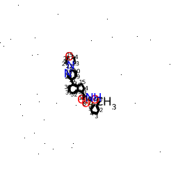 Cc1ccccc1S(=O)(=O)NC(=O)C1CCc2c(-c3ccc(N4CCOCC4)nc3)cccc21